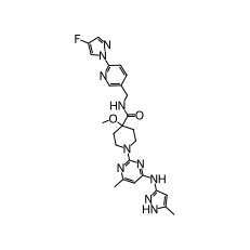 COC1(C(=O)NCc2ccc(-n3cc(F)cn3)nc2)CCN(c2nc(C)cc(Nc3cc(C)[nH]n3)n2)CC1